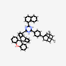 c1ccc2c(c1)Oc1ccccc1C21c2ccccc2-c2c(-c3nc(-c4ccc(C56CC7C[C@H]8C[C@@H](C5)C78C6)cc4)nc(-c4cccc5ccccc45)n3)cccc21